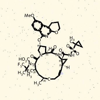 COc1ccc2c(O[C@@H]3C[C@H]4C(=O)N[C@]5(C(=O)NS(=O)(=O)C6(C)CC6)C[C@H]5/C=C\CC[C@@H](C)C[C@@H](C)[C@H](N(C(=O)O)C(C)(C)C(F)(F)F)C(=O)N4C3)nc3c(c2c1)CCCO3